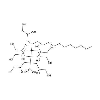 CCCCCCCCCCCC(CC(O)CO)C(CC(O)CO)(CC(O)CO)C(CC(O)CO)(CC(O)CO)C(CC(O)CO)(CC(O)CO)C(=O)O